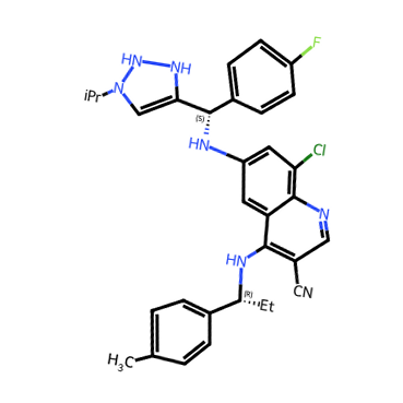 CC[C@@H](Nc1c(C#N)cnc2c(Cl)cc(N[C@H](C3=CN(C(C)C)NN3)c3ccc(F)cc3)cc12)c1ccc(C)cc1